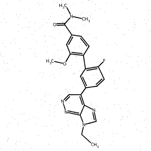 CCn1cnc2c(-c3ccc(F)c(-c4ccc(C(=O)N(C)C)cc4OC)c3)cnnc21